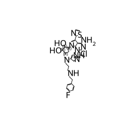 Nc1nc(Cl)nc2c1c(-c1nccs1)cn2[C@@H]1C[C@H](CN(CCCNCCc2ccc(F)cc2)c2cn[nH]c2)[C@@H](O)[C@H]1O